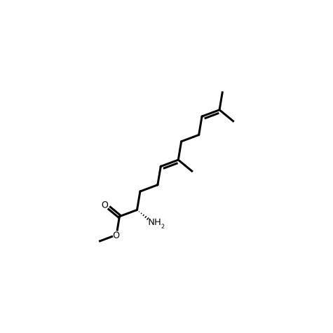 COC(=O)[C@@H](N)CC/C=C(\C)CCC=C(C)C